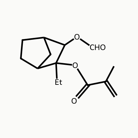 C=C(C)C(=O)OC1(CC)C2CCC(C2)C1OC=O